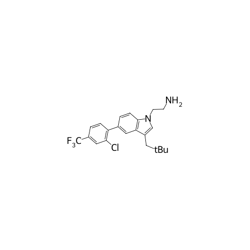 CC(C)(C)Cc1cn(CCN)c2ccc(-c3ccc(C(F)(F)F)cc3Cl)cc12